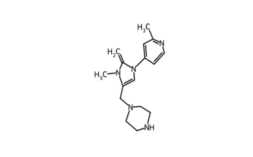 C=C1N(C)C(CN2CCNCC2)=CN1c1ccnc(C)c1